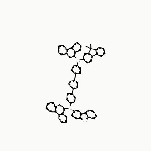 CC1(C)c2ccccc2-c2ccc(N(c3ccc(-c4ccc(-c5ccc(N(c6ccc7oc8ccccc8c7c6)c6cc7ccccc7c7ccccc67)cc5)cc4)cc3)c3cc4ccccc4c4ccccc34)cc21